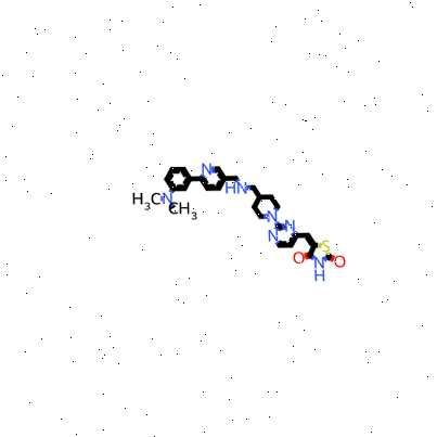 CN(C)c1cccc(-c2ccc(CNCC3CCN(c4nccc(/C=C5/SC(=O)NC5=O)n4)CC3)cn2)c1